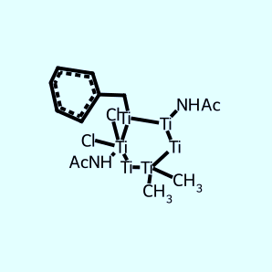 CC(=O)[NH][Ti]1[Ti][Ti]([CH3])([CH3])[Ti][Ti]([Cl])([Cl])([NH]C(C)=O)[Ti]1[CH2]c1ccccc1